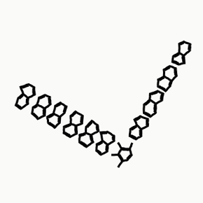 Cc1ccc(C)c(C)c1C.c1ccc2ccccc2c1.c1ccc2ccccc2c1.c1ccc2ccccc2c1.c1ccc2ccccc2c1.c1ccc2ccccc2c1.c1ccc2ccccc2c1.c1ccc2ccccc2c1.c1ccc2ccccc2c1.c1ccc2ccccc2c1.c1ccc2ccccc2c1